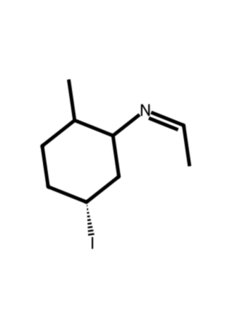 C/C=N\C1C[C@H](I)CCC1C